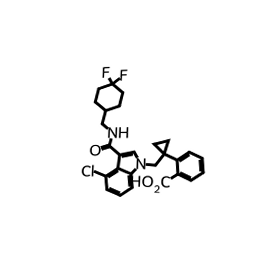 O=C(O)c1ccccc1C1(Cn2cc(C(=O)NCC3CCC(F)(F)CC3)c3c(Cl)cccc32)CC1